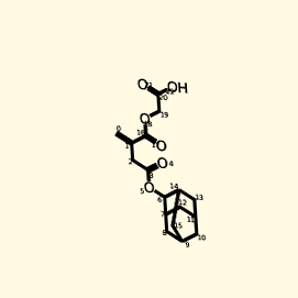 C=C(CC(=O)OC1C2CC3CC(C2)CC1C3)C(=O)OCC(=O)O